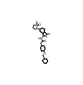 O=C(Cc1ccc(OCc2ccccc2)cc1)Nc1n[nH]c2ccc(N3CCCS3(=O)=O)cc12